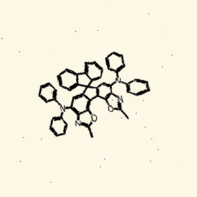 Cc1nc2c(N(c3ccccc3)c3ccccc3)cc3c(c2o1)-c1c(cc(N(c2ccccc2)c2ccccc2)c2nc(C)oc12)C31c2ccccc2-c2ccccc21